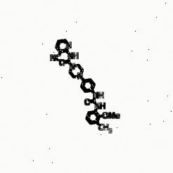 COc1c(C)cccc1NC(=O)Nc1ccc(N2CCN(C(=O)Nc3ncccc3C#N)CC2)cc1